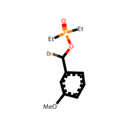 CCP(=O)(CC)OC(Br)c1cccc(OC)c1